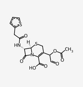 CC(=O)OC(C=O)C1=C(C(=O)O)N2C(=O)[C@H](NC(=O)Cc3cccs3)[C@H]2SC1